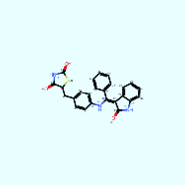 O=C1NC(=O)C(Cc2ccc(N/C(=C3\C(=O)Nc4ccccc43)c3ccccc3)cc2)S1